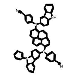 N#Cc1ccc(N(c2ccc3[nH]c4ccccc4c3c2)c2ccc3ccc4c(N(c5ccc(C#N)cc5)c5ccc6c(c5)c5ccccc5n6-c5ccccc5)ccc5ccc2c3c54)cc1